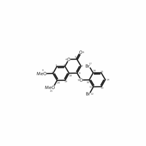 COc1cc2oc(=O)cc(Oc3c(Br)cccc3Br)c2cc1OC